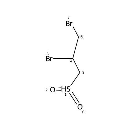 O=[SH](=O)CC(Br)CBr